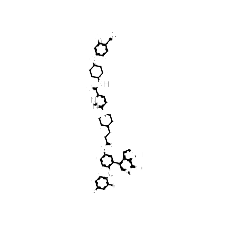 Cn1cc(-c2cc(NC(=O)CCC3CCN(c4ccc(C(=O)NC5CCC(Oc6ccc(C#N)c(Cl)c6)CC5)nn4)CC3)ccc2Oc2ccc(F)cc2F)c2cc[nH]c2c1=O